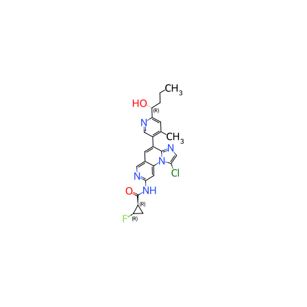 CCC[C@@H](O)c1cc(C)c(-c2cc3cnc(NC(=O)[C@H]4C[C@H]4F)cc3n3c(Cl)cnc23)cn1